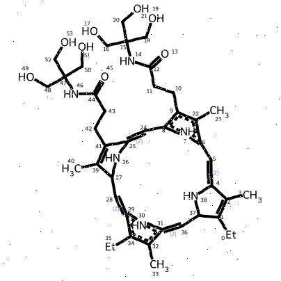 CCC1=C(C)/C2=C/c3[nH]c(c(CCC(=O)NC(CO)(CO)CO)c3C)/C=C3\NC(/C=c4\[nH]/c(c(C)c4CC)=C\C1N2)C(C)=C3CCC(=O)NC(CO)(CO)CO